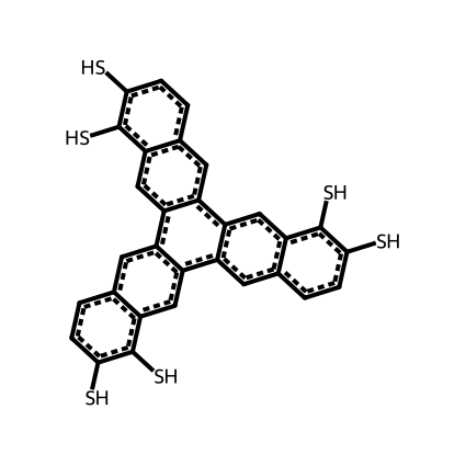 Sc1ccc2cc3c4cc5c(S)c(S)ccc5cc4c4cc5c(S)c(S)ccc5cc4c3cc2c1S